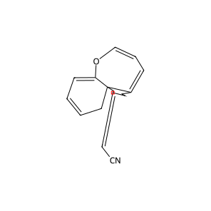 N#CC=C1CCC2=CC=COC3=CC=CCC23C1